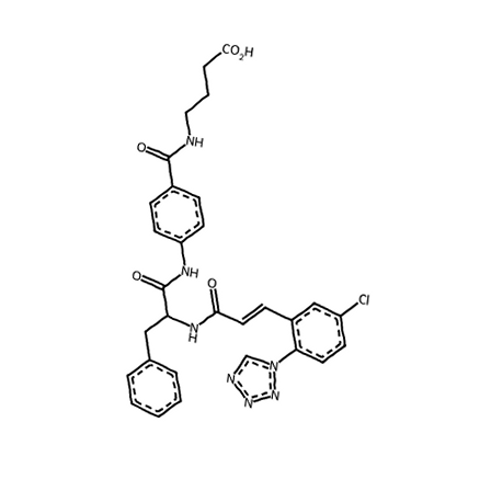 O=C(O)CCCNC(=O)c1ccc(NC(=O)C(Cc2ccccc2)NC(=O)C=Cc2cc(Cl)ccc2-n2cnnn2)cc1